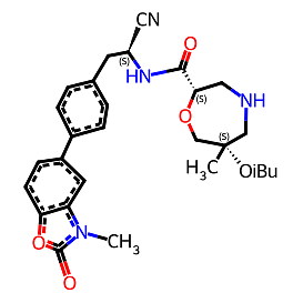 CC(C)CO[C@@]1(C)CNC[C@@H](C(=O)N[C@H](C#N)Cc2ccc(-c3ccc4oc(=O)n(C)c4c3)cc2)OC1